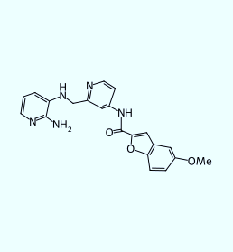 COc1ccc2oc(C(=O)Nc3ccnc(CNc4cccnc4N)c3)cc2c1